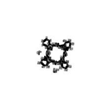 [I-].[Li+].c1ccc2c(c1)-c1nc-2nc2[nH]c(nc3nc(nc4[nH]c(n1)c1ccccc41)-c1ccccc1-3)c1ccccc21